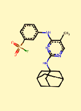 Cc1cnc(NC23CC4CC(CC(C4)C2)C3)nc1Nc1cccc(S(=O)(=O)F)c1